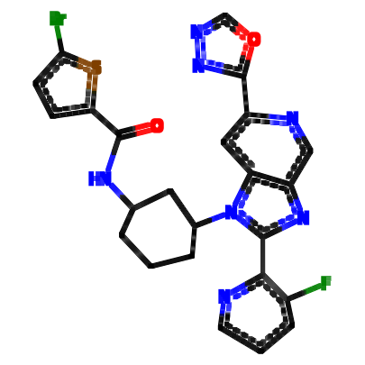 O=C(NC1CCCC(n2c(-c3ncccc3F)nc3cnc(-c4nnco4)cc32)C1)c1ccc(Br)s1